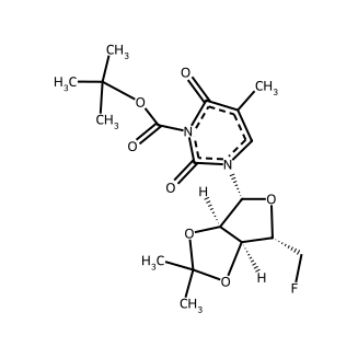 Cc1cn([C@@H]2O[C@H](CF)[C@H]3OC(C)(C)O[C@H]32)c(=O)n(C(=O)OC(C)(C)C)c1=O